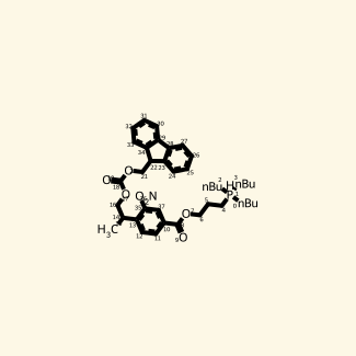 CCCC[PH](CCCC)(CCCC)CCCOC(=O)c1ccc(C(C)COC(=O)OCC2c3ccccc3-c3ccccc32)c([N+](=O)[O-])c1